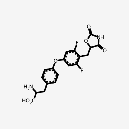 NC(Cc1ccc(Oc2cc(F)c(CC3OC(=O)NC3=O)c(F)c2)cc1)C(=O)O